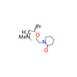 CNC[C@@H](CN1CCCCC1=O)O[C@@H](C)C(C)C